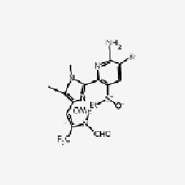 CC[S+]([O-])c1cc(Br)c(N)nc1-c1nc(/C=C(\N(C=O)OC)C(F)(F)F)c(C)n1C